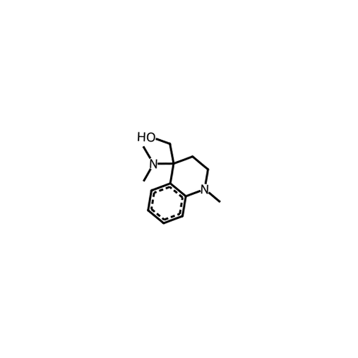 CN1CCC(CO)(N(C)C)c2ccccc21